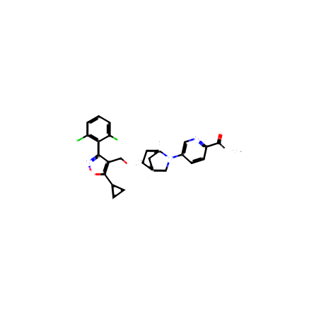 COC(=O)c1ccc(N2C[C@@H]3C[C@H]2C[C@H]3OCc2c(-c3c(Cl)cccc3Cl)noc2C2CC2)cn1